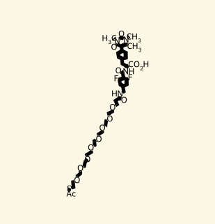 CC(=O)SCCOCCOCCOCCOCCOCCOCCOCCOCCC(=O)NCc1cc(F)c(C(=O)NC(Cc2ccc(-c3c(C)n(C)c(=O)n(C)c3=O)cc2)C(=O)O)c(F)c1